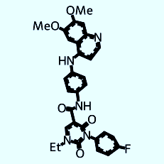 CCn1cc(C(=O)Nc2ccc(Nc3ccnc4cc(OC)c(OC)cc34)cc2)c(=O)n(-c2ccc(F)cc2)c1=O